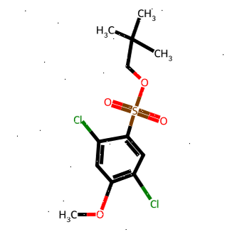 COc1cc(Cl)c(S(=O)(=O)OCC(C)(C)C)cc1Cl